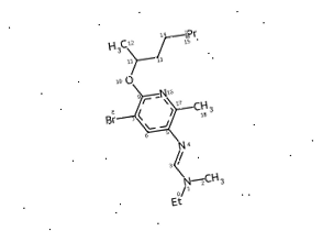 CCN(C)/C=N/c1cc(Br)c(OC(C)CCC(C)C)nc1C